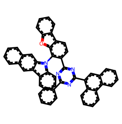 c1ccc(-c2nc(-c3ccc4c(oc5ccccc54)c3-n3c4ccccc4c4cc5ccccc5cc43)nc(-c3cc4ccccc4c4ccccc34)n2)cc1